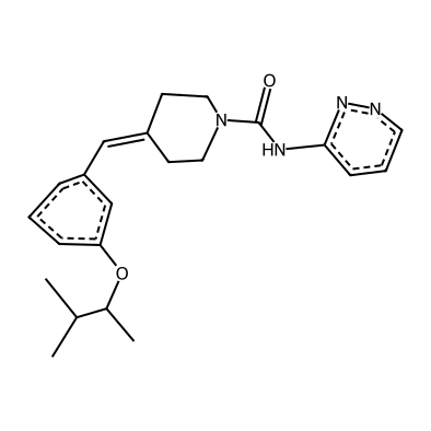 CC(C)C(C)Oc1cccc(C=C2CCN(C(=O)Nc3cccnn3)CC2)c1